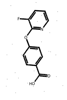 O=C(O)c1ccc(Oc2ncccc2F)cc1